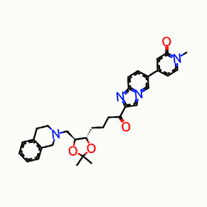 Cn1ccc(-c2ccc3nc(C(=O)CCC[C@@H]4OC(C)(C)O[C@H]4CN4CCc5ccccc5C4)cn3c2)cc1=O